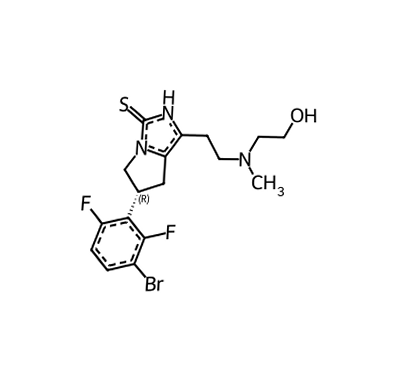 CN(CCO)CCc1[nH]c(=S)n2c1C[C@H](c1c(F)ccc(Br)c1F)C2